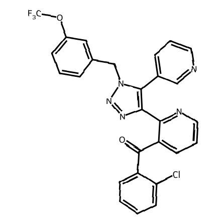 O=C(c1ccccc1Cl)c1cccnc1-c1nnn(Cc2cccc(OC(F)(F)F)c2)c1-c1cccnc1